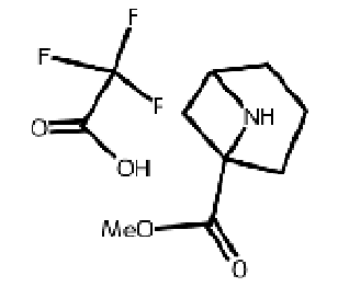 COC(=O)C12CCCC(C1)N2.O=C(O)C(F)(F)F